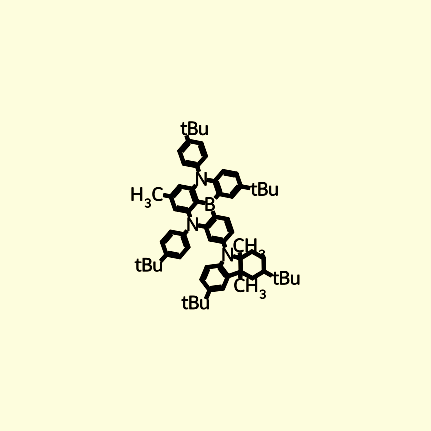 Cc1cc2c3c(c1)N(c1ccc(C(C)(C)C)cc1)c1cc(N4c5ccc(C(C)(C)C)cc5C5(C)CC(C(C)(C)C)CCC45C)ccc1B3c1cc(C(C)(C)C)ccc1N2c1ccc(C(C)(C)C)cc1